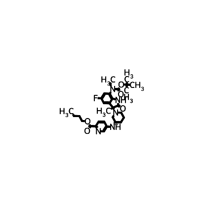 CCCCOC(=O)c1ccc(N[C@H]2CCCN(C3(C)C(=O)Nc4c(N(CC)C(=O)OC(C)(C)C)cc(F)cc43)C2)cn1